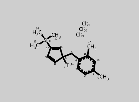 Cc1ccc(C[C]2([Ti+3])C=CC([Si](C)(C)C)=C2)c(C)c1.[Cl-].[Cl-].[Cl-]